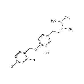 CC(CCc1ccc(OCc2ccc(Cl)cc2Cl)cc1)N(C)C.Cl